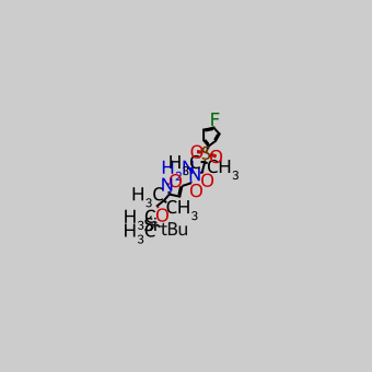 CC(C)(CO[Si](C)(C)C(C)(C)C)c1cc(C(=O)N(N)C(=O)C(C)(C)S(=O)(=O)c2ccc(F)cc2)on1